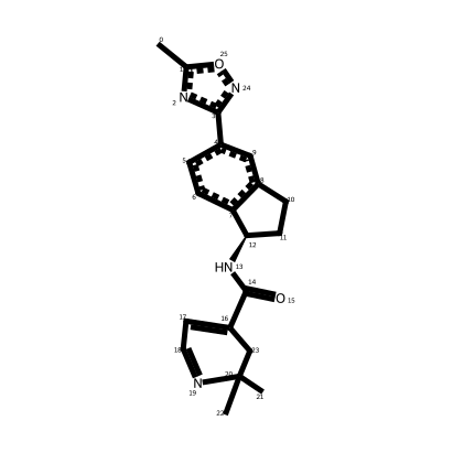 Cc1nc(-c2ccc3c(c2)CC[C@H]3NC(=O)C2=CC=NC(C)(C)C2)no1